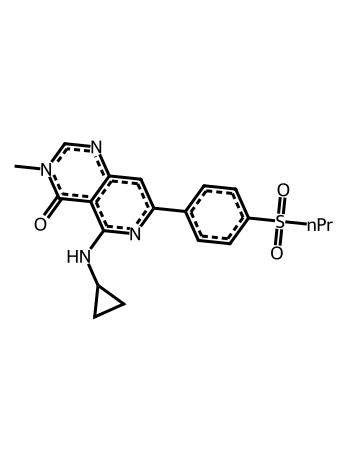 CCCS(=O)(=O)c1ccc(-c2cc3ncn(C)c(=O)c3c(NC3CC3)n2)cc1